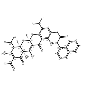 C=C(Cc1cc(C(C)C)c2c(c1O)C(=O)C1=C(O)[C@@]3(O)C(=O)C(C(C)=O)=C(O)C(C(C)C)[C@@]3(C)C[C@@]1(C)C2)Cc1cccc2ccccc12